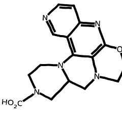 O=C(O)N1CCN2c3c4c(nc5ccncc35)OCCN4CC2C1